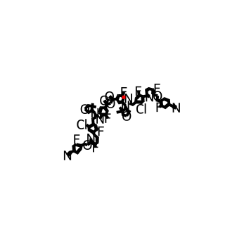 CC1(C)COCC1n1c(Cc2cc(F)c(-c3ccc(F)c(OCc4ccc(C#N)cc4F)n3)cc2Cl)nc2c(F)cc(C(=O)OC(=O)c3cc(F)c4nc(Cc5cc(F)c(-c6ccc(F)c(OCc7ccc(C#N)cc7F)n6)cc5Cl)n(C5COCC5(C)C)c4c3)cc21